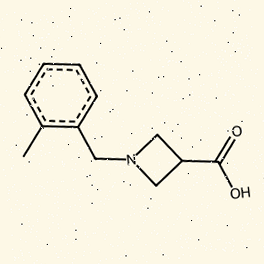 Cc1c[c]ccc1CN1CC(C(=O)O)C1